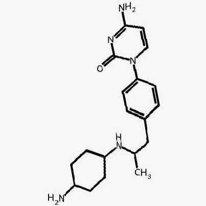 CC(Cc1ccc(-n2ccc(N)nc2=O)cc1)NC1CCC(N)CC1